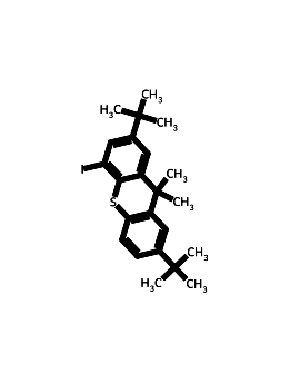 CC(C)(C)c1ccc2c(c1)C(C)(C)c1cc(C(C)(C)C)cc(I)c1S2